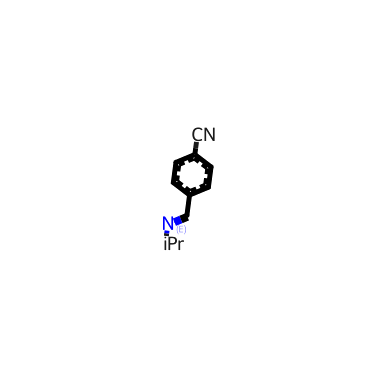 CC(C)/N=C/c1ccc(C#N)cc1